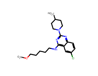 O=C(O)C1CCN(c2nc(NCCCCCO[N+](=O)[O-])c3cc(Cl)ccc3n2)CC1